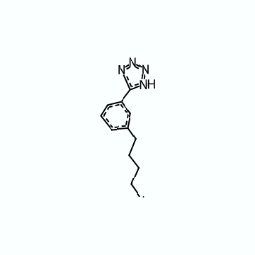 [CH2]CCCCc1cccc(-c2nnn[nH]2)c1